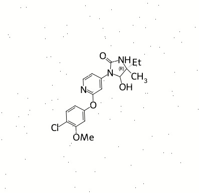 CC[C@@]1(C)NC(=O)N(c2ccnc(Oc3ccc(Cl)c(OC)c3)c2)C1O